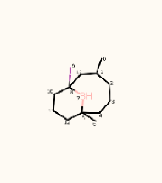 CC1CCCC2(C)BC(I)(CCC2)C1